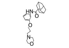 O=C(Nc1cccc(OCCCN2CCOCC2)c1)C12CC3CC(CC(C3)C1)C2